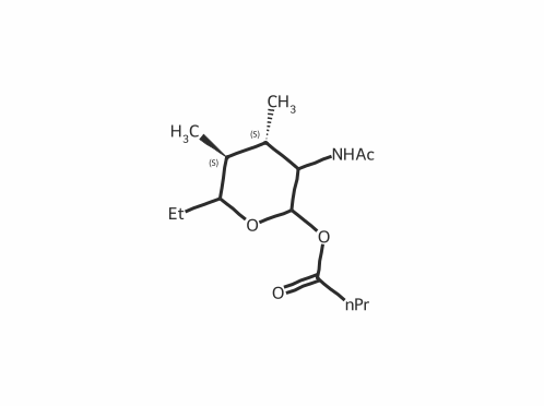 CCCC(=O)OC1OC(CC)[C@@H](C)[C@H](C)C1NC(C)=O